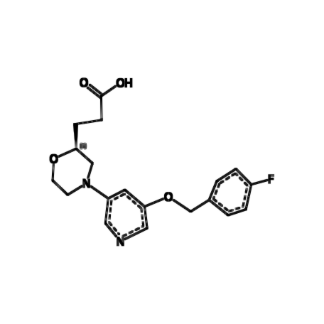 O=C(O)CC[C@H]1CN(c2cncc(OCc3ccc(F)cc3)c2)CCO1